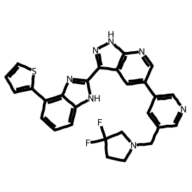 FC1(F)CCN(Cc2cncc(-c3cnc4[nH]nc(-c5nc6c(-c7cccs7)cccc6[nH]5)c4c3)c2)C1